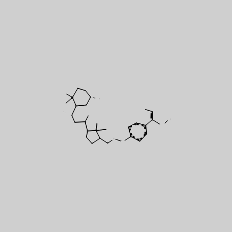 CC/C=C(/OCCC)c1ccc(SNCC2CCC(C(C)C[C@H](CC)C3C[C@H](O)CCC3(C)C)C2(C)CCC)cc1